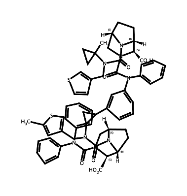 Cc1cc(CN(C(=O)N2[C@H]3CC[C@@H]2[C@@H](C(=O)O)N(C(=O)N(c2ccccc2)c2ccccc2)C3)C2CC2c2cccc(N(C(=O)N3C[C@@H]4CC[C@H]([C@H]3C(=O)O)N4C(=O)N(Cc3ccsc3)C3(C)CC3)c3ccccc3)c2)cs1